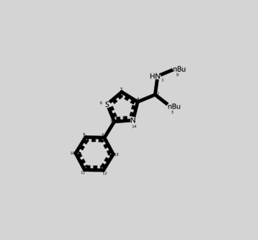 CCCCNC(CCCC)c1csc(-c2ccccc2)n1